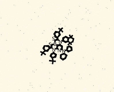 CC(C)(C)c1ccc(N2c3nc(N(c4ccccc4)c4ccccc4)cc4c3B(c3sc5ccc(C(C)(C)C)cc5c3N4c3ccc4c(c3)C(C)(C)CCC4(C)C)c3sc4ccc(C(C)(C)C)cc4c32)cc1